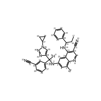 [2H]C(Nc1cc(F)c2ncc(C#N)c(NC(CC)c3ccccc3)c2c1)(c1cccc(C#N)c1)c1cn(C2CC2)nn1